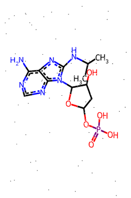 CC(C)Nc1nc2c(N)ncnc2n1C1OC(OP(=O)(O)O)CC1O